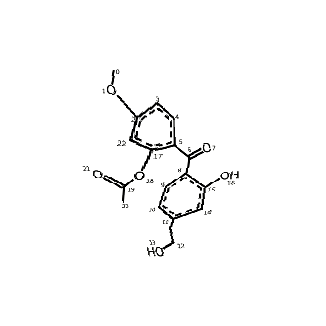 COc1ccc(C(=O)c2ccc(CO)cc2O)c(OC(C)=O)c1